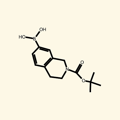 CC(C)(C)OC(=O)N1CCc2ccc(B(O)O)cc2C1